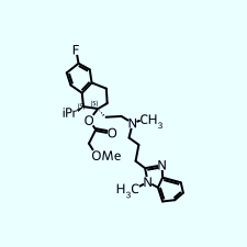 COCC(=O)O[C@]1(CCN(C)CCCc2nc3ccccc3n2C)CCc2cc(F)ccc2[C@@H]1C(C)C